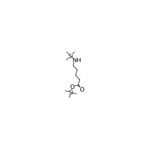 C[Si](C)(C)NCCCCC(=O)O[Si](C)(C)C